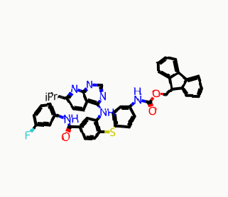 CC(C)c1ccc2c(Nc3cc(C(=O)Nc4cccc(F)c4)ccc3Sc3ccc(NC(=O)OCC4c5ccccc5-c5ccccc54)cc3)ncnc2n1